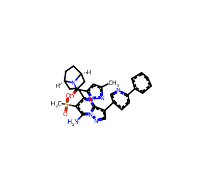 Cc1cc(C(=O)N2[C@@H]3CC[C@H]2CC(c2nc4c(-c5ccc(-c6ccccc6)nc5)cnn4c(N)c2S(C)(=O)=O)C3)[nH]n1